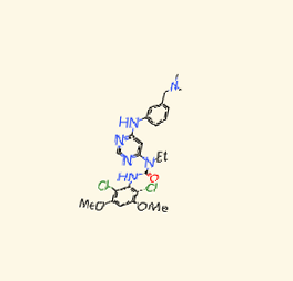 CCN(C(=O)Nc1c(Cl)c(OC)cc(OC)c1Cl)c1cc(Nc2cccc(CN(C)C)c2)ncn1